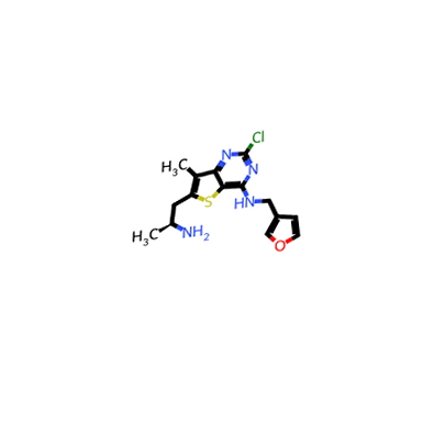 Cc1c(C[C@H](C)N)sc2c(NCc3ccoc3)nc(Cl)nc12